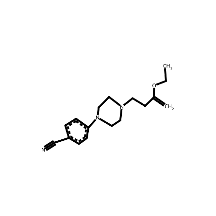 C=C(CCN1CCN(c2ccc(C#N)cc2)CC1)OCC